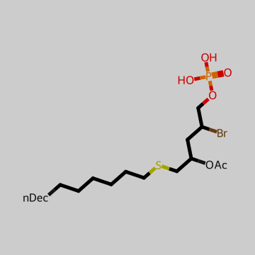 CCCCCCCCCCCCCCCCSCC(CC(Br)COP(=O)(O)O)OC(C)=O